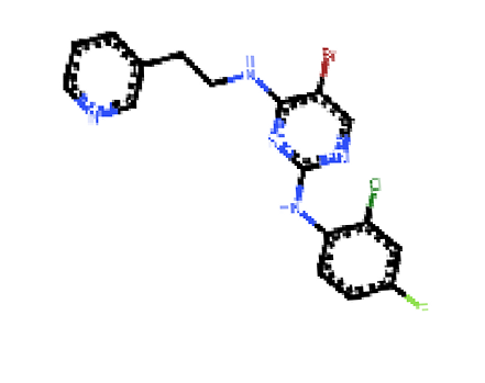 Fc1ccc(Nc2ncc(Br)c(NCCc3cccnc3)n2)c(Cl)c1